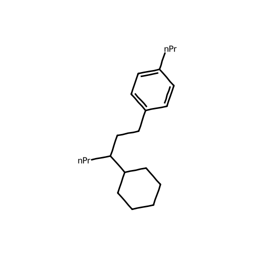 CCCc1ccc(CCC(CCC)C2CCCCC2)cc1